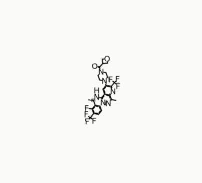 Cc1nnc(N[C@H](C)c2cccc(C(F)(F)F)c2F)c2cc(N3CCN(C(=O)C4COC4)CC3)c(C(F)(F)F)nc12